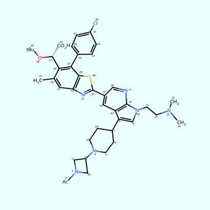 CC(=O)N1CC(N2CCC(c3cn(CCN(C)C)c4ncc(-c5nc6cc(C)c([C@H](OC(C)(C)C)C(=O)O)c(-c7ccc(Cl)cc7)c6s5)cc34)CC2)C1